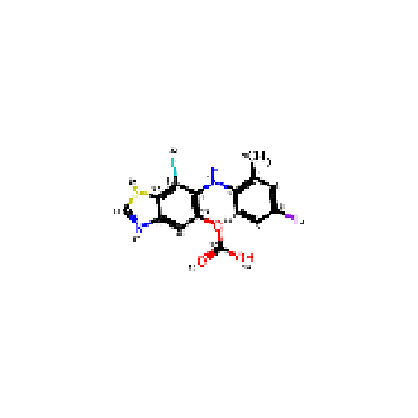 Cc1cc(I)ccc1Nc1c(OC(=O)O)cc2ncsc2c1F